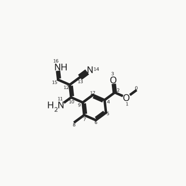 COC(=O)c1ccc(C)c(/C(N)=C(\C#N)C=N)c1